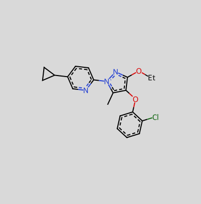 CCOc1nn(-c2ccc(C3CC3)cn2)c(C)c1Oc1ccccc1Cl